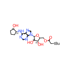 CC(C)(C)CC(=O)OCC1OC(n2cnc3c(N[C@H]4CCC[C@@H]4O)ncnc32)[C@H](O)[C@@H]1O